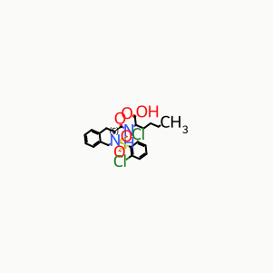 CCCCC(NC(=O)[C@@H]1Cc2ccccc2CN1S(=O)(=O)c1c(Cl)cccc1Cl)C(=O)O